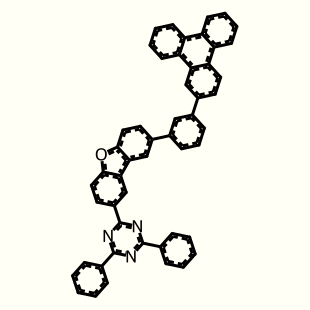 c1ccc(-c2nc(-c3ccccc3)nc(-c3ccc4oc5ccc(-c6cccc(-c7ccc8c9ccccc9c9ccccc9c8c7)c6)cc5c4c3)n2)cc1